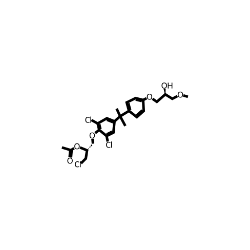 COC[C@H](O)COc1ccc(C(C)(C)c2cc(Cl)c(OC[C@H](CCl)OC(C)=O)c(Cl)c2)cc1